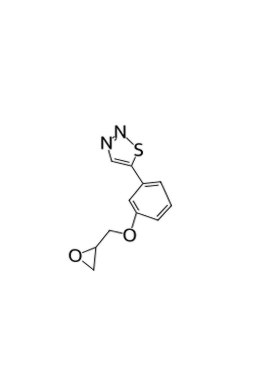 c1cc(OCC2CO2)cc(-c2cnns2)c1